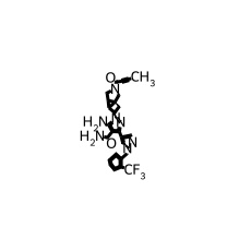 CC#CC(=O)N1CC2C3[C@H](n4nc(-c5cnn(Cc6ccccc6C(F)(F)F)c5)c(C(N)=O)c4N)C[C@]23C1